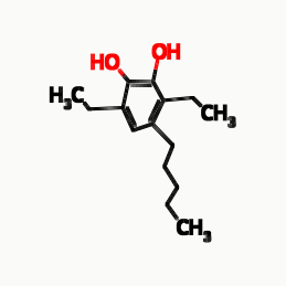 CCCCCc1cc(CC)c(O)c(O)c1CC